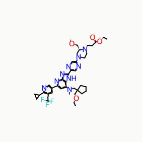 CCOCC1(CN(C)c2cc(-c3cnc(C4CC4)c(C(F)(F)F)c3)nc3nc(-c4cnc(N5CCN(CCC(=O)OCC)[C@H](COC)C5)cn4)[nH]c23)CCCC1